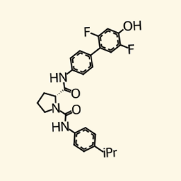 CC(C)c1ccc(NC(=O)N2CCC[C@@H]2C(=O)Nc2ccc(-c3cc(F)c(O)cc3F)cc2)cc1